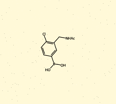 CC(=O)NCc1cc(B(O)O)ccc1Cl